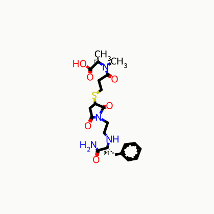 C[C@@H](C(=O)O)N(C)C(=O)CCSC1CC(=O)N(CCN[C@H](Cc2ccccc2)C(N)=O)C1=O